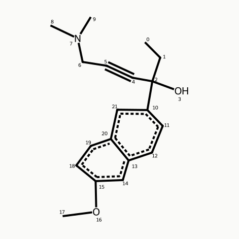 CCC(O)(C#CCN(C)C)c1ccc2cc(OC)ccc2c1